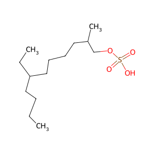 CCCCC(CC)CCCCC(C)COS(=O)(=O)O